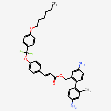 [CH2]c1cc(N)ccc1-c1ccc(N)cc1COC(=O)/C=C/c1ccc(OC(F)(F)c2ccc(OCCCCCC(F)(F)F)cc2)cc1